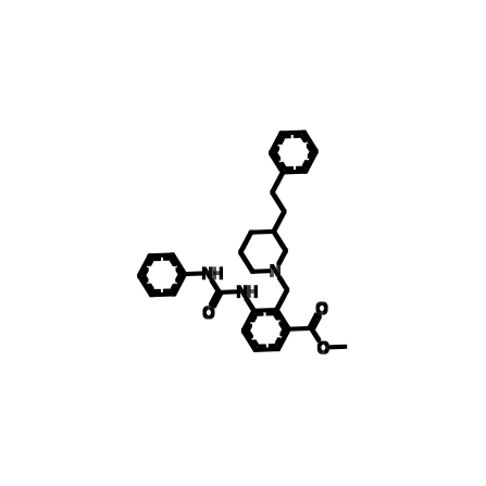 COC(=O)c1cccc(NC(=O)Nc2ccccc2)c1CN1CCCC(CCc2ccccc2)C1